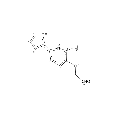 O=CCOc1ccc(-c2ncco2)nc1Cl